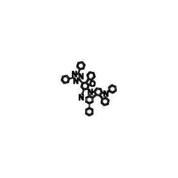 N#Cc1cc(-c2nc(-c3ccccc3)nc(-c3ccccc3)n2)c2c(oc3ccccc32)c1-n1c2ccc(-c3ccccc3)cc2c2c3c4ccccc4n(-c4ccccc4)c3ccc21